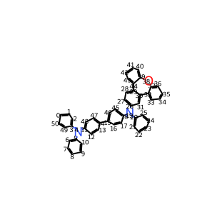 c1ccc(N(c2ccccc2)c2ccc(-c3ccc(N(c4ccccc4)c4ccc5c(c4)-c4ccccc4Oc4ccccc4-5)cc3)cc2)cc1